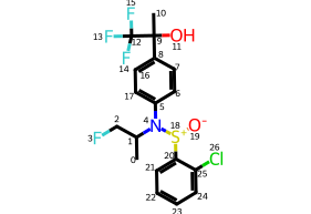 CC(CF)N(c1ccc(C(C)(O)C(F)(F)F)cc1)[S+]([O-])c1ccccc1Cl